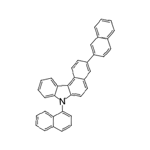 c1ccc2cc(-c3ccc4c(ccc5c4c4ccccc4n5-c4cccc5ccccc45)c3)ccc2c1